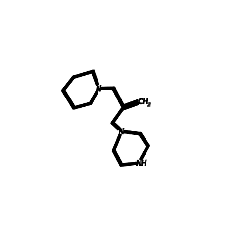 C=C(CN1CCCCC1)CN1CCNCC1